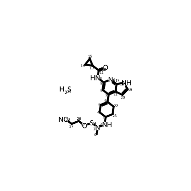 CN(NC1CC=C(c2cc(NC(=O)C3CC3)nc3[nH]ccc23)CC1)SOCCC#N.S